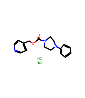 Cl.Cl.O=C(OCc1ccncc1)N1CCN(c2ccccc2)CC1